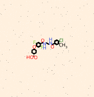 Cc1cc(C(=O)NCCNC(=O)c2cc(F)c(O[C@H]3CC[C@@H](C(=O)O)CC3)cc2F)ccc1Cl